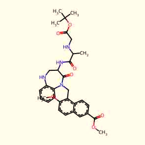 COC(=O)c1ccc2c(CN3C(=O)C(NC(=O)C(C)NCC(=O)OC(C)(C)C)CNc4ccccc43)c(OC)ccc2c1